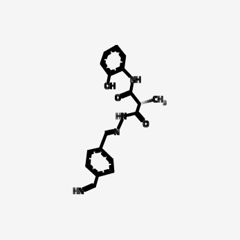 C[C@H](C(=O)N/N=C/c1ccc(C=N)cc1)C(=O)Nc1ccccc1O